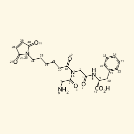 NCC(=O)N(CC(=O)N[C@@H](Cc1ccccc1)C(=O)O)C(=O)CCCCCN1C(=O)C=CC1=O